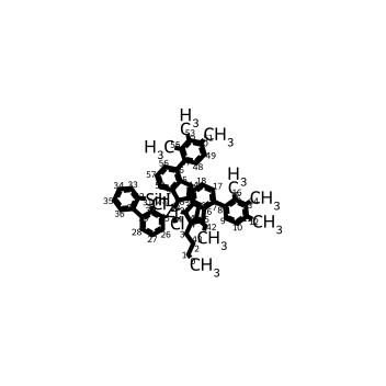 CCCCC1=Cc2c(-c3ccc(C)c(C)c3C)cccc2[CH]1[Zr]([Cl])([Cl])([c]1cccc2c1[SiH2]c1ccccc1-2)[CH]1C(CCCC)=Cc2c(-c3ccc(C)c(C)c3C)cccc21